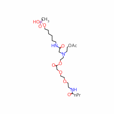 CCCC(=O)NCCOCCOCC(=O)OCCN(CCOC(C)=O)CC(=O)NCCCCCCOP(C)(=O)O